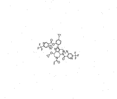 C=CC(=O)N1CC(OC2CC2)c2nn(-c3ccc(C4CC4)cc3OC(=O)c3cnc(C(F)(F)F)cc3N)c3c2C(C1)N(C(=O)c1cnc(C(F)(F)F)cc1N)CC3